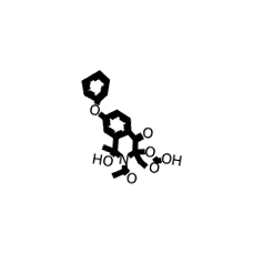 CCC1(OC(=O)O)C(=O)c2ccc(Oc3ccccc3)cc2C(C)(O)N1C(C)=O